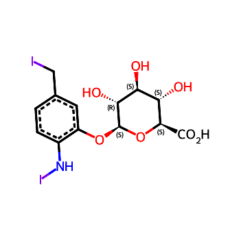 O=C(O)[C@H]1O[C@@H](Oc2cc(CI)ccc2NI)[C@H](O)[C@@H](O)[C@@H]1O